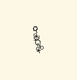 CC(C)(C)OC(=O)N1CCc2nc(OCc3ccccc3)sc2CC1